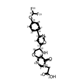 O=C(O)Cn1cnc2c(c1=O)N[C@H](c1cc(-c3ccc(OC(F)F)cc3)no1)CO2